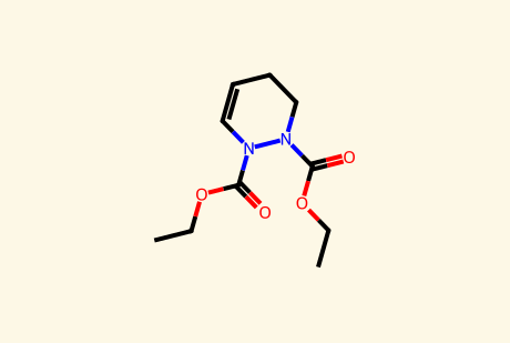 CCOC(=O)N1C=CCCN1C(=O)OCC